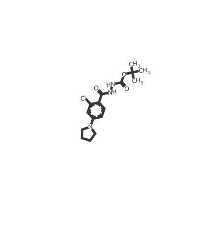 CC(C)(C)OC(=O)NNC(=O)c1ccc(N2CCCC2)cc1Cl